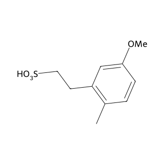 COc1ccc(C)c(CCS(=O)(=O)O)c1